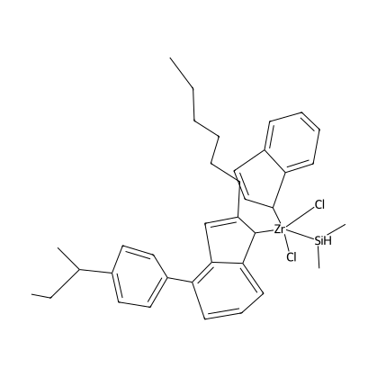 CCCCCCC1=Cc2c(-c3ccc(C(C)CC)cc3)cccc2[CH]1[Zr]([Cl])([Cl])([CH]1C=Cc2ccccc21)[SiH](C)C